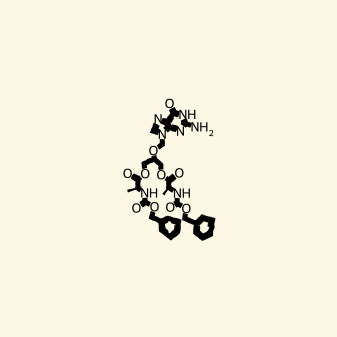 C[C@H](NC(=O)OCc1ccccc1)C(=O)OCC(COC(=O)[C@H](C)NC(=O)OCc1ccccc1)OCn1cnc2c(=O)[nH]c(N)nc21